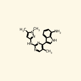 Cc1cnc(Nc2cc(C)n(C)n2)nc1-c1c[nH]c2c(N)cccc12